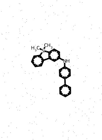 C[Si]1(C)c2ccccc2-c2cc(Nc3ccc(-c4ccccc4)cc3)ccc21